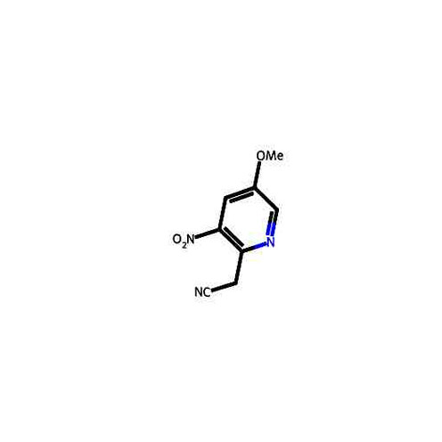 COc1cnc(CC#N)c([N+](=O)[O-])c1